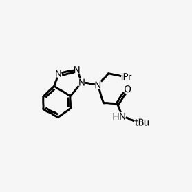 CC(C)CN(CC(=O)NC(C)(C)C)n1nnc2ccccc21